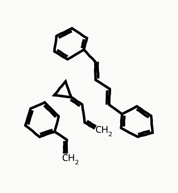 C(C=Cc1ccccc1)=Cc1ccccc1.C=CC=C1CC1.C=Cc1ccccc1